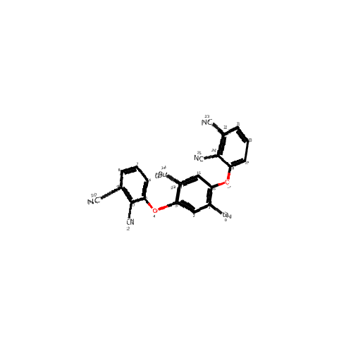 CC(C)(C)c1cc(Oc2cccc(C#N)c2C#N)c(C(C)(C)C)cc1Oc1cccc(C#N)c1C#N